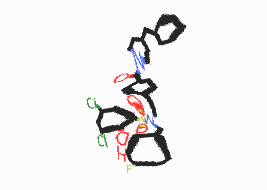 O=C(c1ccc(CN(Cc2ccc(F)cc2)S(=O)(=O)c2cc(Cl)cc(Cl)c2O)cc1)N1CCC(Cc2ccccc2)CC1